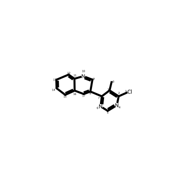 Cc1c(Cl)ncnc1-c1cnc2ccccc2c1